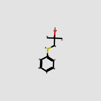 CC(C)([O])CSc1ccccc1